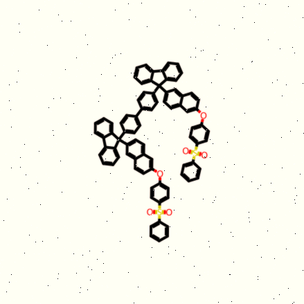 O=S(=O)(c1ccccc1)c1ccc(Oc2ccc3cc(C4(c5ccc(-c6ccc(C7(c8ccc9cc(Oc%10ccc(S(=O)(=O)c%11ccccc%11)cc%10)ccc9c8)c8ccccc8-c8ccccc87)cc6)cc5)c5ccccc5-c5ccccc54)ccc3c2)cc1